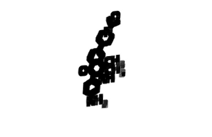 CC1(C)c2cc(C3CCN(C4COC4)CC3)ccc2C(=O)c2c1[nH]c1cc(N)ccc21